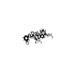 CCC[C@H]1C(=O)N(Cc2ccc3c(N)ncnc3c2)[C@H](C)CN1C(=O)COc1cccc(Cl)c1